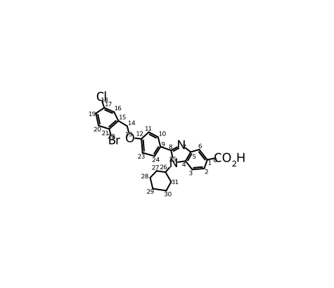 O=C(O)c1ccc2c(c1)nc(-c1ccc(OCc3cc(Cl)ccc3Br)cc1)n2C1CCCCC1